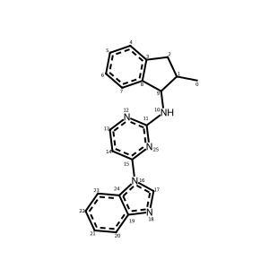 CC1Cc2ccccc2C1Nc1nccc(-n2cnc3ccccc32)n1